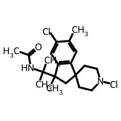 CC(=O)NC(C)(C)C1(C)CC2(CCN(Cl)CC2)c2cc(C)c(Cl)cc21